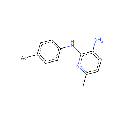 CC(=O)c1ccc(Nc2nc(C)ccc2N)cc1